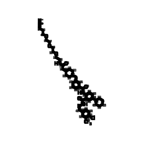 [N-]=[N+]=NCCOCCOCCOCCNC(=O)CC1CCN(Cc2cccc(C(=O)Nc3ccc(N4CCCCC4)cc3C(=O)N/N=C\c3ccc(Cl)c(C(F)(F)F)c3)c2)CC1